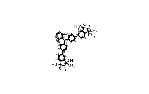 CC1(C)CC(C)(C)c2cc(-c3ccc4c(c3)Oc3ncnc5c3B4c3ccc(-c4ccc6c(c4)C(C)(C)CC6(C)C)cc3O5)ccc21